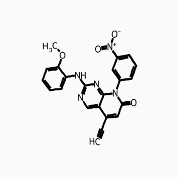 C#Cc1cc(=O)n(-c2cccc([N+](=O)[O-])c2)c2nc(Nc3ccccc3OC)ncc12